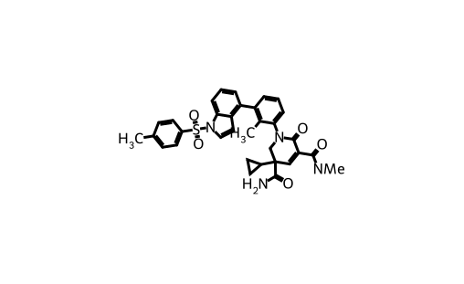 CNC(=O)C1=CC(C(N)=O)(C2CC2)CN(c2cccc(-c3cccc4c3ccn4S(=O)(=O)c3ccc(C)cc3)c2C)C1=O